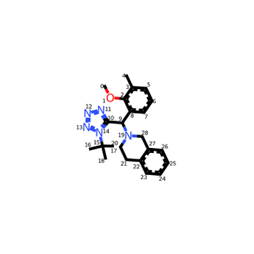 COc1c(C)cccc1C(c1nnnn1C(C)(C)C)N1CCc2ccccc2C1